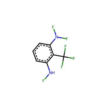 FNc1cccc(N(F)F)c1C(F)(F)F